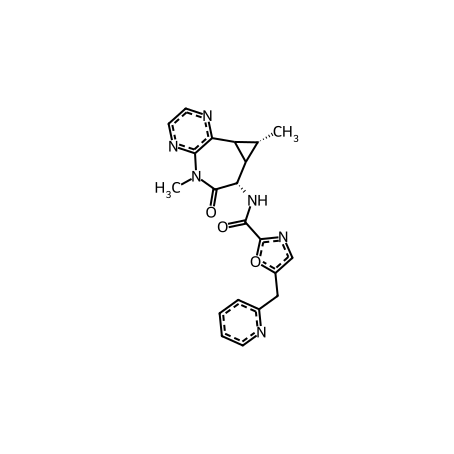 C[C@H]1C2c3nccnc3N(C)C(=O)[C@@H](NC(=O)c3ncc(Cc4ccccn4)o3)C21